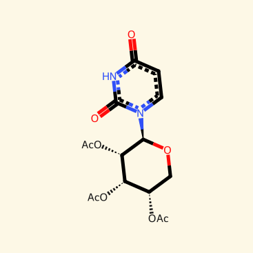 CC(=O)O[C@@H]1[C@H](OC(C)=O)[C@@H](n2ccc(=O)[nH]c2=O)OC[C@@H]1OC(C)=O